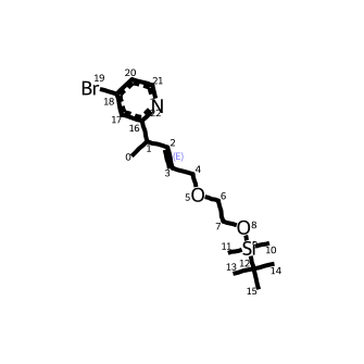 CC(/C=C/COCCO[Si](C)(C)C(C)(C)C)c1cc(Br)ccn1